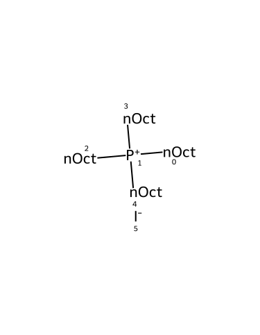 CCCCCCCC[P+](CCCCCCCC)(CCCCCCCC)CCCCCCCC.[I-]